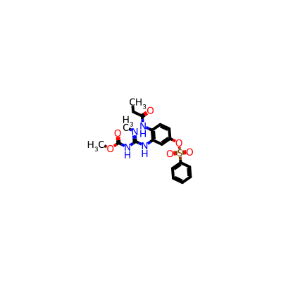 CCC(=O)Nc1ccc(OS(=O)(=O)c2ccccc2)cc1NC(=NC)NC(=O)OC